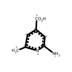 Cc1cc(C(=O)O)cc(N)n1